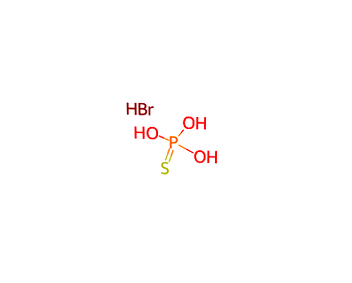 Br.OP(O)(O)=S